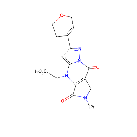 CC(C)N1Cc2c(n(CC(=O)O)c3cc(C4=CCOCC4)nn3c2=O)C1=O